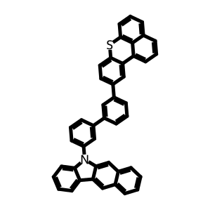 c1cc(-c2cccc(-n3c4ccccc4c4cc5ccccc5cc43)c2)cc(-c2ccc3c(c2)-c2cccc4cccc(c24)S3)c1